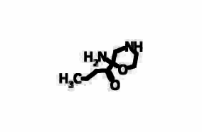 CCCC(=O)C1(N)CNCCO1